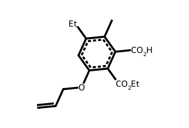 C=CCOc1cc(CC)c(C)c(C(=O)O)c1C(=O)OCC